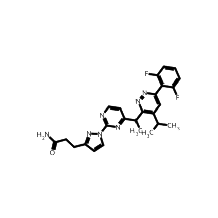 CC(C)c1cc(-c2c(F)cccc2F)nnc1C(C)c1ccnc(-n2ccc(CCC(N)=O)n2)n1